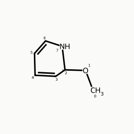 CO[C]1C=CC=CN1